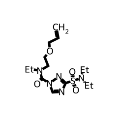 C=CCOCCN(CC)C(=O)n1cnc(S(=O)(=O)N(CC)CC)n1